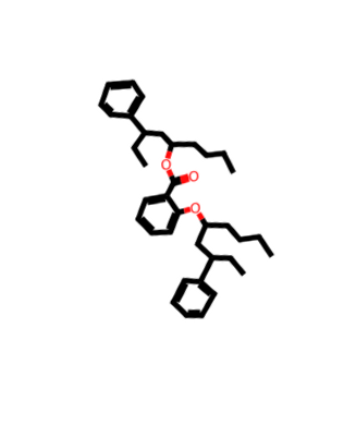 CCCCC(CC(CC)c1ccccc1)OC(=O)c1ccccc1OC(CCCC)CC(CC)c1ccccc1